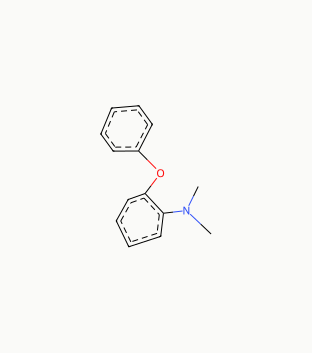 CN(C)c1ccccc1Oc1ccccc1